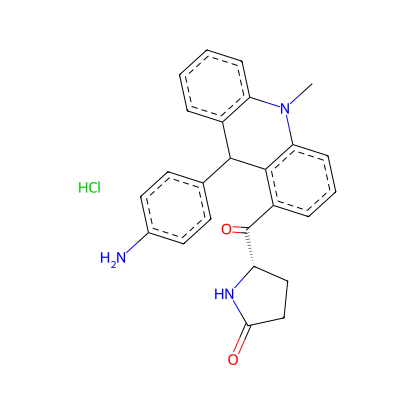 CN1c2ccccc2C(c2ccc(N)cc2)c2c(C(=O)[C@@H]3CCC(=O)N3)cccc21.Cl